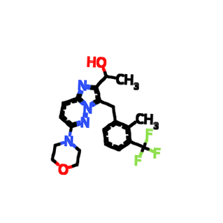 Cc1c(Cc2c(C(C)O)nc3ccc(N4CCOCC4)nn23)cccc1C(F)(F)F